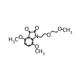 COCCOCCN1C(=O)C(=O)c2c(OC)ccc(OC)c21